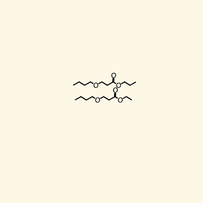 CCCCOCCC(=O)OCC.CCCCOCCC(=O)OCCC